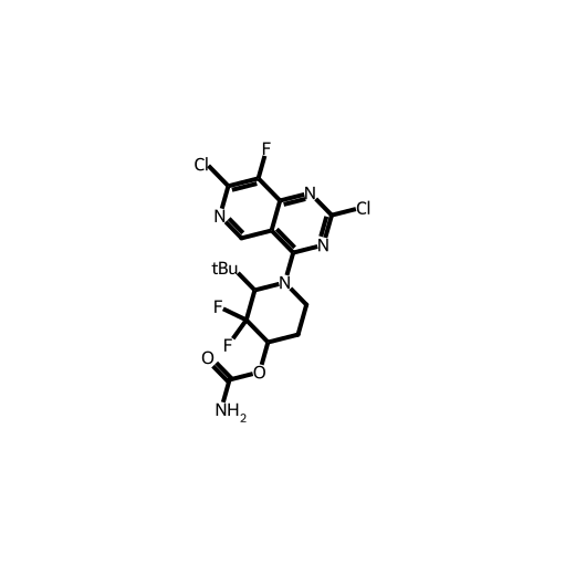 CC(C)(C)C1N(c2nc(Cl)nc3c(F)c(Cl)ncc23)CCC(OC(N)=O)C1(F)F